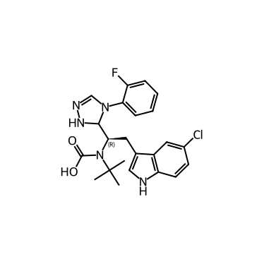 CC(C)(C)N(C(=O)O)[C@H](Cc1c[nH]c2ccc(Cl)cc12)C1NN=CN1c1ccccc1F